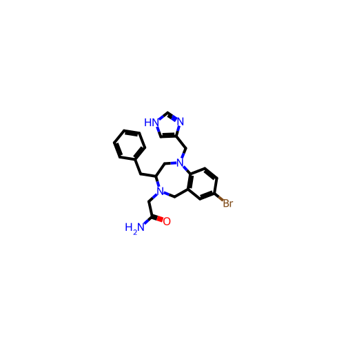 NC(=O)CN1Cc2cc(Br)ccc2N(Cc2c[nH]cn2)CC1Cc1ccccc1